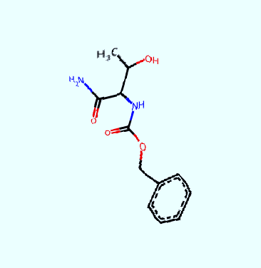 CC(O)C(NC(=O)OCc1ccccc1)C(N)=O